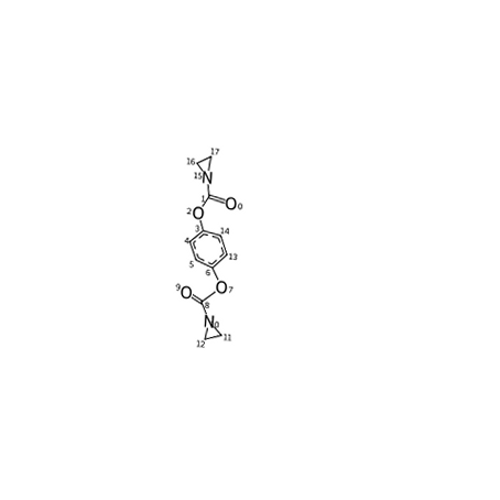 O=C(Oc1ccc(OC(=O)N2CC2)cc1)N1CC1